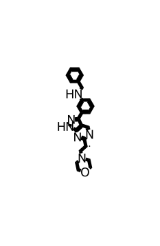 [CH](CN1CCOCC1)c1ncc2c(-c3cccc(NCc4ccccc4)c3)n[nH]c2n1